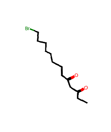 CCC(=O)CC(=O)CCCCCCCCBr